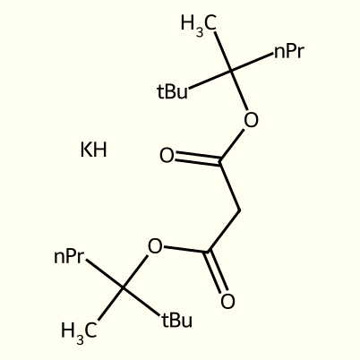 CCCC(C)(OC(=O)CC(=O)OC(C)(CCC)C(C)(C)C)C(C)(C)C.[KH]